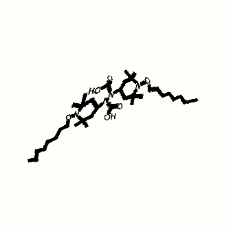 CCCCCCCCON1C(C)(C)CC(N(C(=O)O)N(C(=O)O)C2CC(C)(C)N(OCCCCCCCC)C(C)(C)C2)CC1(C)C